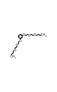 CCCCOCCOCCOc1cccc(OCCOCCOCCCC)c1